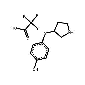 O=C(O)C(F)(F)F.Oc1ccc(SC2CCNC2)cc1